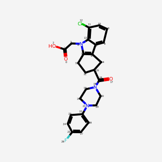 O=C(O)Cn1c2c(c3cccc(Cl)c31)CC(C(=O)N1CCN(c3ccc(F)cc3)CC1)CC2